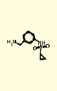 NCc1cccc(NS(=O)(=O)C2CC2)c1